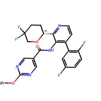 CC(C)Oc1ncc(C(=O)Nc2c(-c3cc(F)ccc3F)ccnc2[C@H]2CCC(F)(F)CO2)cn1